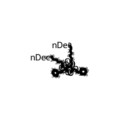 CCCCCCCCCCCCCCCC(=O)OC(C(=O)OCc1ccccc1)C(OC(=O)CCCCCCCCCCCCCCC)C(=O)OCc1ccccc1